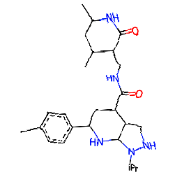 Cc1ccc(C2CC(C(=O)NCC3C(=O)NC(C)CC3C)C3CNN(C(C)C)C3N2)cc1